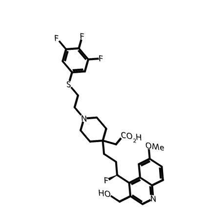 COc1ccc2ncc(CO)c([C@@H](F)CCC3(CC(=O)O)CCN(CCSc4cc(F)c(F)c(F)c4)CC3)c2c1